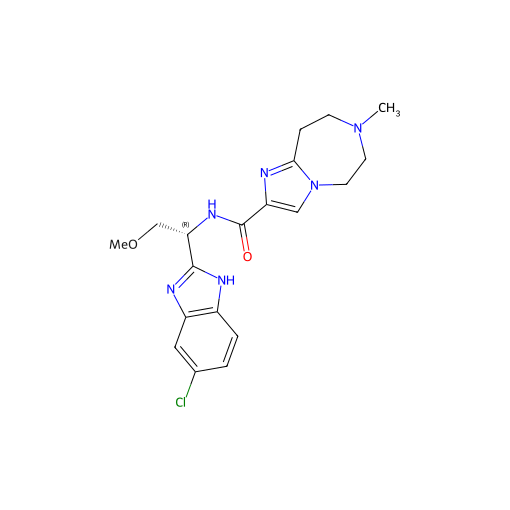 COC[C@H](NC(=O)c1cn2c(n1)CCN(C)CC2)c1nc2cc(Cl)ccc2[nH]1